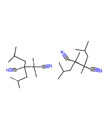 CC(C)CC(C#N)(CC(C)C)C(C)(C)C#N.CC(C)CC(C)(C#N)C(C)(C#N)CC(C)C